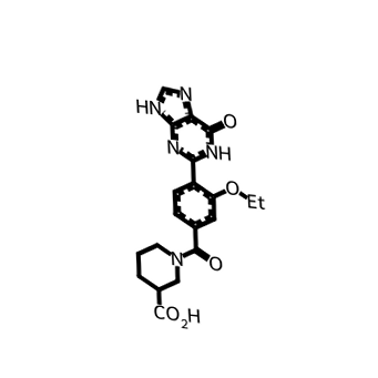 CCOc1cc(C(=O)N2CCCC(C(=O)O)C2)ccc1-c1nc2[nH]cnc2c(=O)[nH]1